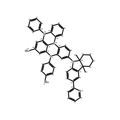 CC(C)(C)c1ccc(N2c3cc(N4c5ccc(-c6ccccn6)cc5C5(C)CCCCC45C)ccc3B3c4ccccc4N(c4ccccc4)c4cc(C(C)(C)C)cc2c43)cc1